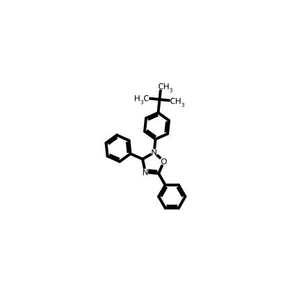 CC(C)(C)c1ccc(N2OC(c3ccccc3)=NC2c2ccccc2)cc1